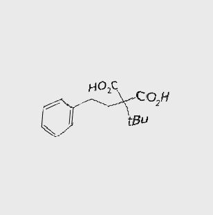 CC(C)(C)C(CCc1ccccc1)(C(=O)O)C(=O)O